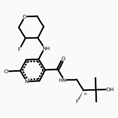 CC(C)(O)[C@H](F)CNC(=O)c1cnc(Cl)cc1NC1CCOCC1F